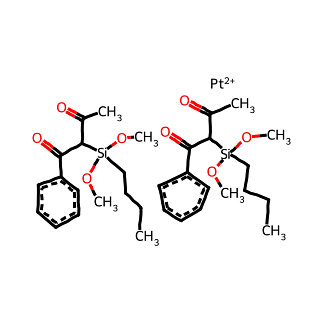 CCCC[Si](OC)(OC)C(C(C)=O)C(=O)c1ccccc1.CCCC[Si](OC)(OC)C(C(C)=O)C(=O)c1ccccc1.[Pt+2]